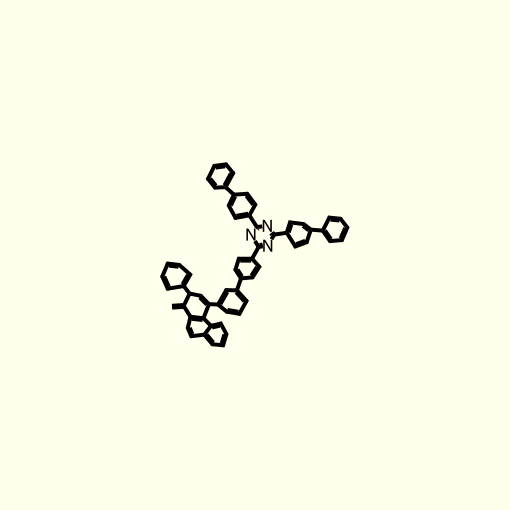 C=C1c2ccc3ccccc3c2C(c2cccc(-c3ccc(-c4nc(-c5ccc(-c6ccccc6)cc5)nc(-c5ccc(-c6ccccc6)cc5)n4)cc3)c2)=CC1c1ccccc1